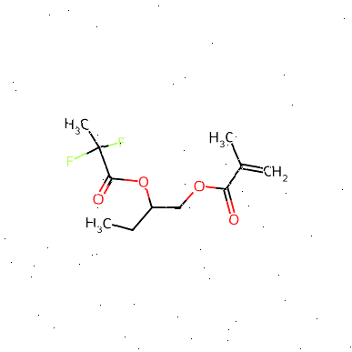 C=C(C)C(=O)OCC(CC)OC(=O)C(C)(F)F